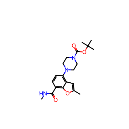 CNC(=O)c1ccc(N2CCN(C(=O)OC(C)(C)C)CC2)c2cc(C)oc12